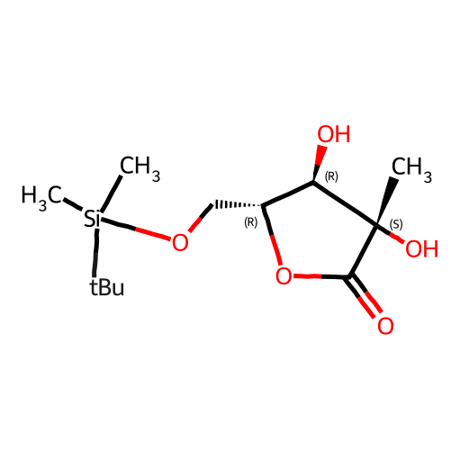 CC(C)(C)[Si](C)(C)OC[C@H]1OC(=O)[C@@](C)(O)[C@@H]1O